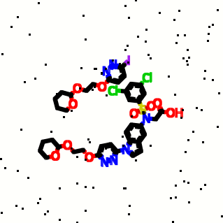 Ic1ccc(OCCOC2CCCCO2)nn1.O=C(O)CN(c1ccc2c(ccn2-c2ccc(OCCOC3CCCCO3)nn2)c1)S(=O)(=O)c1cc(Cl)cc(Cl)c1